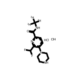 Cl.Cl.[2H]C([2H])([2H])NC(=O)c1ccc(N2CCNCC2)c(C(F)F)n1